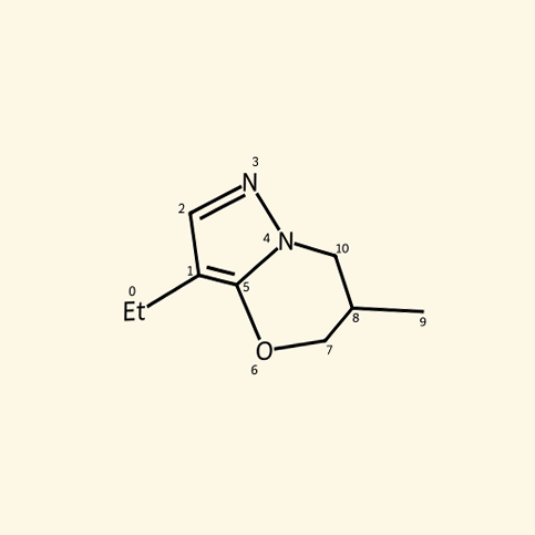 CCc1cnn2c1OCC(C)C2